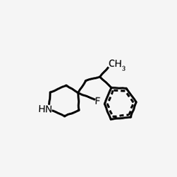 CC(CC1(F)CCNCC1)c1ccccc1